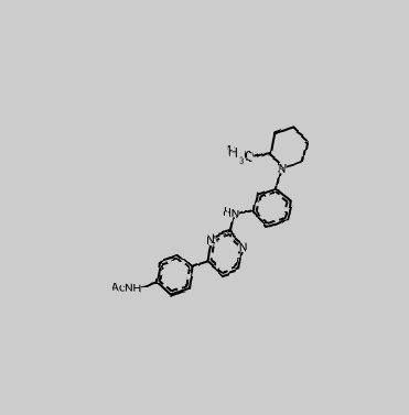 CC(=O)Nc1ccc(-c2ccnc(Nc3cccc(N4CCCCC4C)c3)n2)cc1